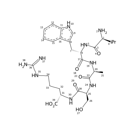 CC(C)[C@H](N)C(=O)N[C@@H](Cc1c[nH]c2ccccc12)C(=O)N[C@@H](C)C(=O)N[C@@H](CO)C(=O)N[C@@H](CCCNC(=N)N)C(=O)O